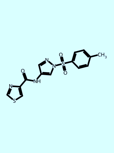 Cc1ccc(S(=O)(=O)n2cc(NC(=O)c3cscn3)cn2)cc1